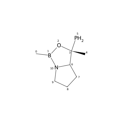 CB1O[C@](C)(P)C2CCCN12